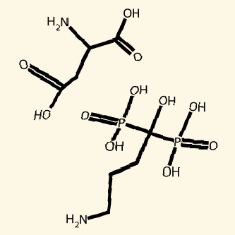 NC(CC(=O)O)C(=O)O.NCCCC(O)(P(=O)(O)O)P(=O)(O)O